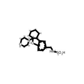 O=S(=O)(O)NCc1ccc2c(c1)C1CCCCC1(N1CCOCC1)O2